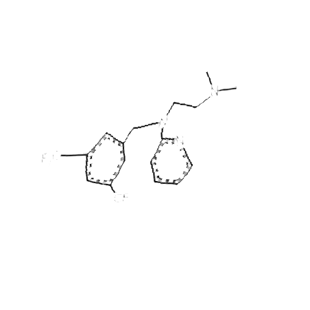 CN(C)CCN(Cc1cc(C(F)(F)F)cc(C(F)(F)F)c1)c1ccccn1